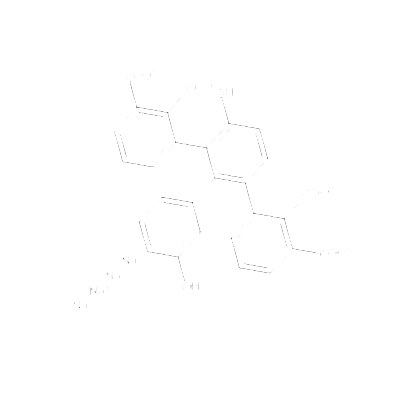 O=C([O-])c1cccc(-c2ccc(O)c(-c3cccc(C(=O)[O-])c3C(=O)[O-])c2-c2cccc(O)c2)c1C(=O)[O-].[Na+].[Na+].[Na+].[Na+]